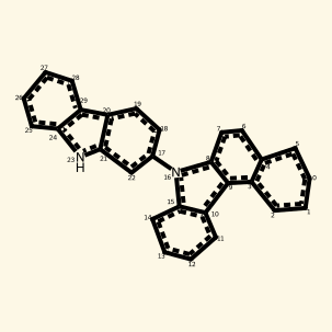 c1ccc2c(c1)ccc1c2c2ccccc2n1-c1ccc2c(c1)[nH]c1ccccc12